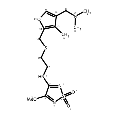 COC1=NS(=O)(=O)N=C1NCCSCc1occ(CN(C)C)c1C